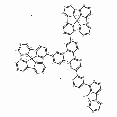 c1cc(-c2cnc3c4ccc(-c5ccc6c(c5)C5(c7ccccc7-c7ccccc75)c5ccccc5-6)cc4c4cc(-c5ccc6c(c5)C5(c7ccccc7-c7ccccc75)c5ccccc5-6)ccc4c3n2)cc(-c2cccc3c2oc2ccccc23)c1